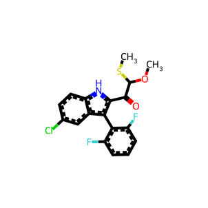 COC(SC)C(=O)c1[nH]c2ccc(Cl)cc2c1-c1c(F)cccc1F